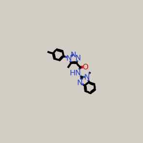 Cc1ccc(-n2nnc(C(=O)Nc3nc4ccccc4n3C)c2C)cc1